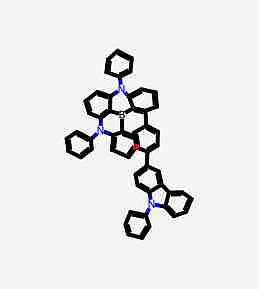 c1ccc(N2c3ccccc3B3c4c(-c5ccc(-c6ccc7c(c6)c6ccccc6n7-c6ccccc6)cc5)cccc4N(c4ccccc4)c4cccc2c43)cc1